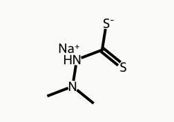 CN(C)NC(=S)[S-].[Na+]